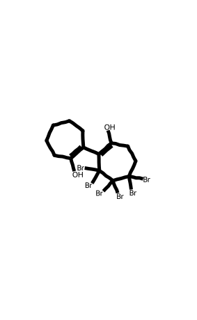 OC1=C(C2=C(O)CCC(Br)(Br)C(Br)(Br)C2(Br)Br)CCCCC1